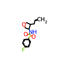 C=CCC1COCC1NS(=O)(=O)c1ccc(F)cc1